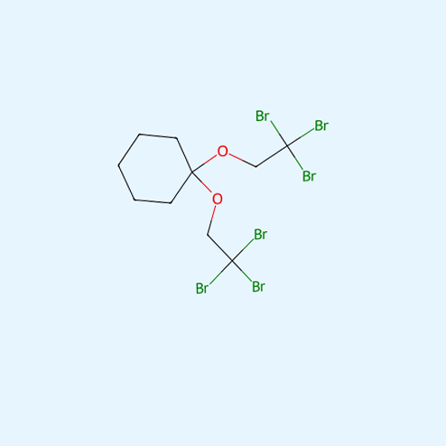 BrC(Br)(Br)COC1(OCC(Br)(Br)Br)CCCCC1